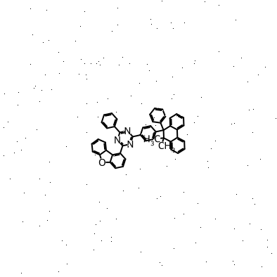 CC1(C)c2ccccc2-c2ccccc2C1(c1ccccc1)c1ccc(-c2nc(-c3ccccc3)nc(-c3cccc4oc5ccccc5c34)n2)cc1